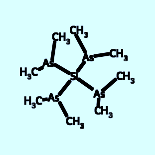 C[As](C)[Si]([As](C)C)([As](C)C)[As](C)C